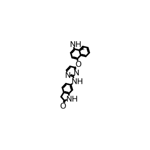 Nc1ccc(Oc2ccnc(Nc3ccc4c(c3)NC(=O)C4)n2)c2ccccc12